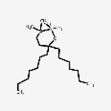 CCCCCCCC1(CCCCCCC)CC[Si](C)(C)[Si](C)(C)O1